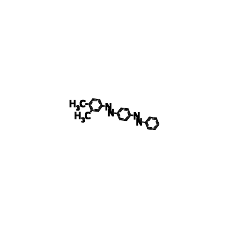 Cc1ccc(N=Nc2ccc(N=Nc3ccccc3)cc2)cc1C